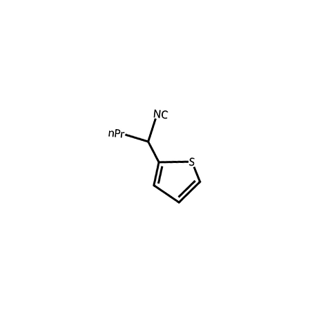 [C-]#[N+]C(CCC)c1cccs1